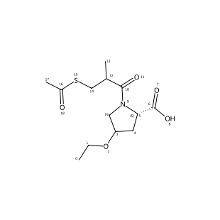 CCOC1C[C@@H](C(=O)O)N(C(=O)C(C)CSC(C)=O)C1